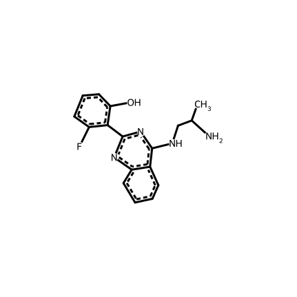 CC(N)CNc1nc(-c2c(O)cccc2F)nc2ccccc12